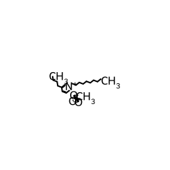 CCCCCCCCCC[n+]1cccc(CCCC)c1.CS(=O)(=O)[O-]